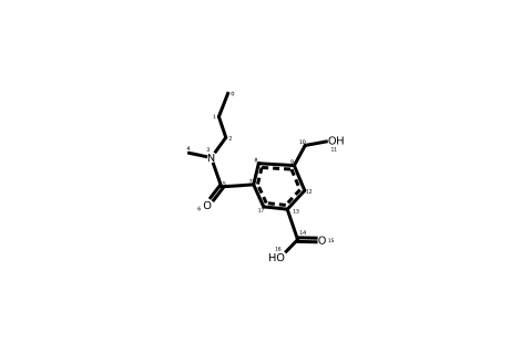 CCCN(C)C(=O)c1cc(CO)cc(C(=O)O)c1